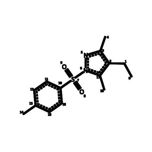 CCc1c(C)nn(S(=O)(=O)c2ccc(C)cc2)c1C